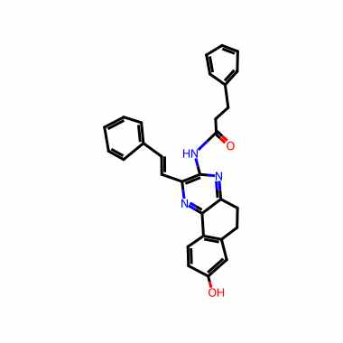 O=C(CCc1ccccc1)Nc1nc2c(nc1/C=C/c1ccccc1)-c1ccc(O)cc1CC2